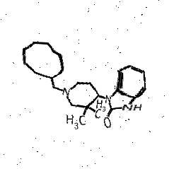 CC1(C)CN(CC2CCCCCCC2)CCC1n1c(=O)[nH]c2ccccc21